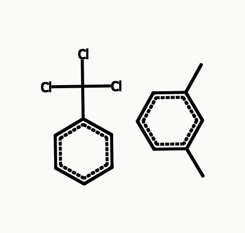 Cc1cccc(C)c1.ClC(Cl)(Cl)c1ccccc1